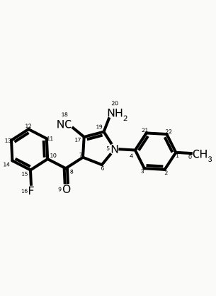 Cc1ccc(N2CC(C(=O)c3ccccc3F)C(C#N)=C2N)cc1